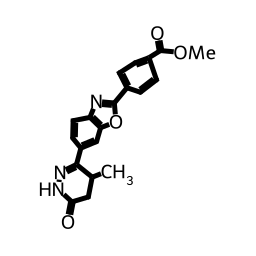 COC(=O)c1ccc(-c2nc3ccc(C4=NNC(=O)CC4C)cc3o2)cc1